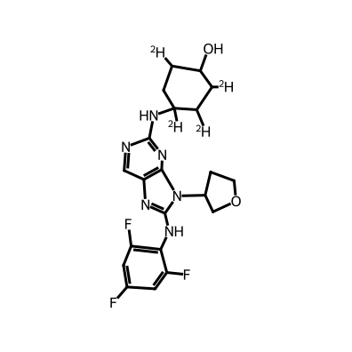 [2H]C1CC([2H])(Nc2ncc3nc(Nc4c(F)cc(F)cc4F)n(C4CCOC4)c3n2)C([2H])C([2H])C1O